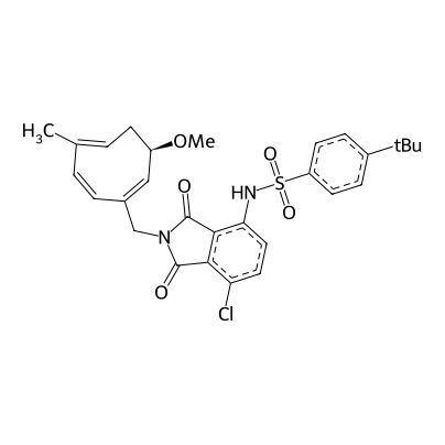 CO[C@H]1\C=C(CN2C(=O)c3c(Cl)ccc(NS(=O)(=O)c4ccc(C(C)(C)C)cc4)c3C2=O)/C=C\C(C)=C\C1